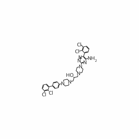 Nc1nc(N2CCN(CC(O)CN3CCN(c4ccc(-c5cccc(Cl)c5Cl)cc4)CC3)CC2)nnc1-c1cccc(Cl)c1Cl